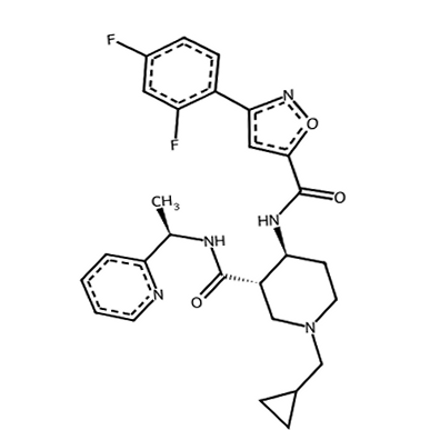 C[C@@H](NC(=O)[C@H]1CN(CC2CC2)CC[C@@H]1NC(=O)c1cc(-c2ccc(F)cc2F)no1)c1ccccn1